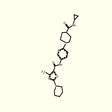 O=C(Nc1ccc(N2CCC(C(=O)NC3CC3)CC2)nc1)c1oc(N2CCCCC2)nc1C(F)(F)F